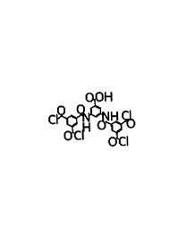 O=C(O)c1cc(NC(=O)c2cc(C(=O)Cl)cc(C(=O)Cl)c2)cc(NC(=O)c2cc(C(=O)Cl)cc(C(=O)Cl)c2)c1